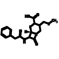 CSCC1CN2C(=O)C(NC(=O)Cc3ccccc3)[C@H]2SC1C(=O)O